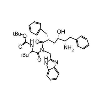 CC[C@H](C)[C@H](NC(=O)OC(C)(C)C)C(=O)N(Cc1nc2ccccc2[nH]1)C(=O)[C@H](Cc1ccccc1)C[C@H](O)[C@@H](N)Cc1ccccc1